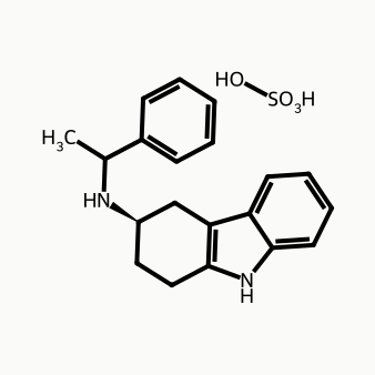 CC(N[C@@H]1CCc2[nH]c3ccccc3c2C1)c1ccccc1.O=S(=O)(O)O